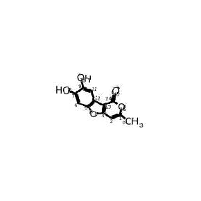 Cc1cc2oc3cc(O)c(O)cc3c2c(=O)o1